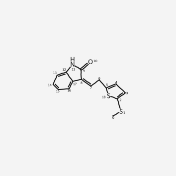 CSc1ccc(CC=C2C(=O)Nc3ccccc32)s1